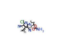 N#Cc1c(Cl)nc(N2CCC(OC(N)=O)C2)c(C#N)c1C1CC1